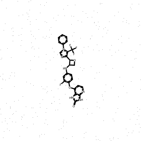 O=c1[nH]c2nccc(Oc3ccc(NC4COC4c4ncn(-c5ccccc5)c4C(F)(F)F)cc3F)c2[nH]1